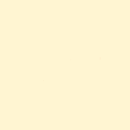 C=CCc1ccc(-c2cccc(Oc3ccccc3)c2)c(Oc2ccccc2)c1CC=C